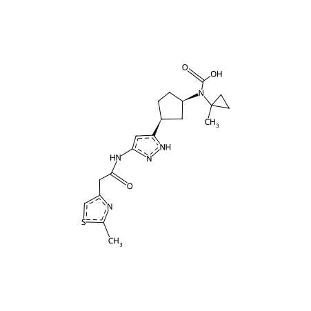 Cc1nc(CC(=O)Nc2cc([C@H]3CC[C@@H](N(C(=O)O)C4(C)CC4)C3)[nH]n2)cs1